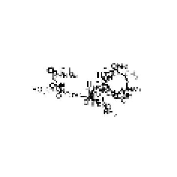 CNN(C)Cc1cc2ccccc2n1CCC(=O)N[C@@H](CCC(=O)O)C(=O)NCCOCCOCCC(=O)NC(C(=O)N[C@@H](CCCNC(N)=O)C(=O)N(C)[C@@H](C)C(=O)O[C@H]1CC(=O)N(C)c2cc(cc(OC)c2Cl)C/C(C)=C/C=C/[C@@H](OC)[C@@]2(O)C[C@H](OC(=O)N2)[C@@H](C)CC1(C)O)C(C)C